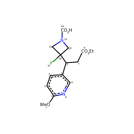 CCOC(=O)CC(c1ccc(OC)nc1)C1(F)CN(C(=O)O)C1